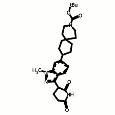 Cn1nc(C2CCC(=O)NC2=O)c2ccc(C3CCC4(CC3)CCN(C(=O)OC(C)(C)C)CC4)cc21